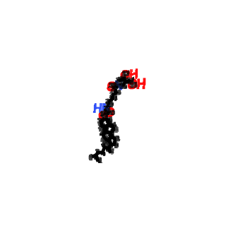 CC(C)CCCC(C)C1CCC2C3CC=C4C[C@@H](OC(=O)NCCCCCC(=O)N5CC(O)C(CO)C5)CC[C@]4(C)C3CC[C@]12C